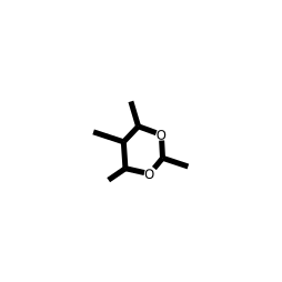 CC1OC(C)C(C)C(C)O1